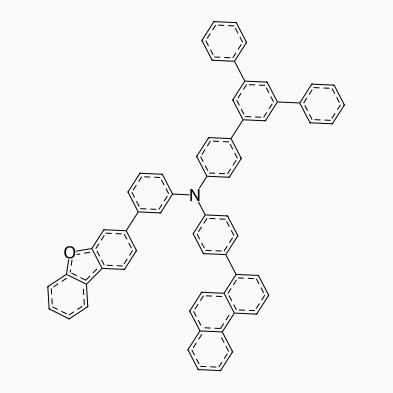 c1ccc(-c2cc(-c3ccccc3)cc(-c3ccc(N(c4ccc(-c5cccc6c5ccc5ccccc56)cc4)c4cccc(-c5ccc6c(c5)oc5ccccc56)c4)cc3)c2)cc1